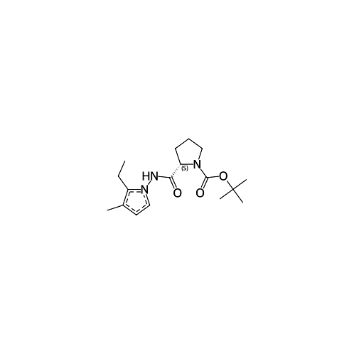 CCc1c(C)ccn1NC(=O)[C@@H]1CCCN1C(=O)OC(C)(C)C